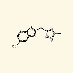 Cc1nc(Sc2nc3ccc([N+](=O)[O-])cc3s2)n[nH]1